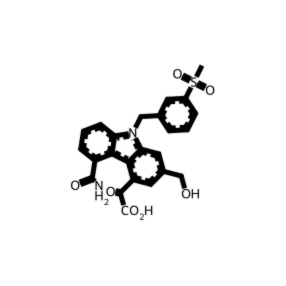 CS(=O)(=O)c1cccc(Cn2c3cccc(C(N)=O)c3c3c(C(=O)C(=O)O)cc(CO)cc32)c1